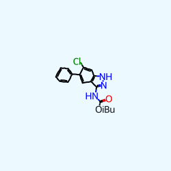 CC(C)COC(=O)Nc1n[nH]c2cc(Cl)c(-c3ccccc3)cc12